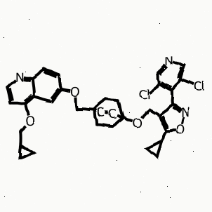 Clc1cncc(Cl)c1-c1noc(C2CC2)c1COC12CCC(COc3ccc4nccc(OCC5CC5)c4c3)(CC1)CC2